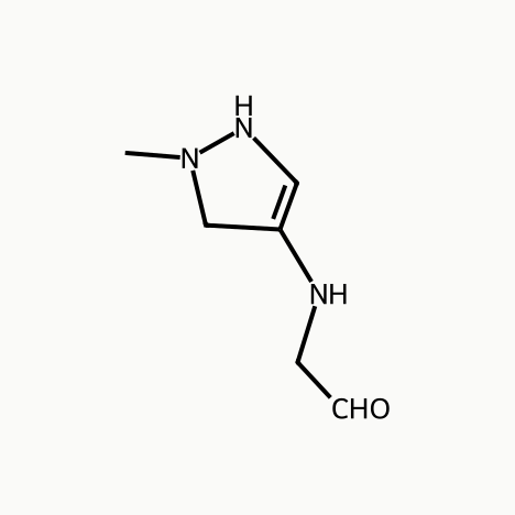 CN1CC(NCC=O)=CN1